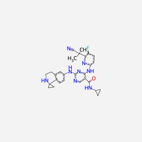 CC(C)(C#N)c1nc(Nc2nc(Nc3ccc4c(c3)CCNC43CC3)ncc2C(=O)NC2CC2)ccc1F